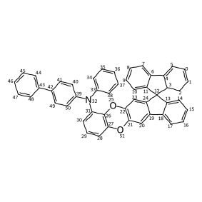 C1=CCC2C(=C1)c1ccccc1C21c2ccccc2-c2cc3c(cc21)Oc1c(cccc1N(c1ccccc1)c1ccc(-c2ccccc2)cc1)O3